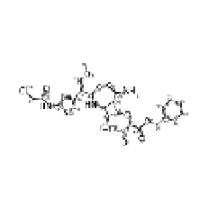 CO/N=C(\C(=O)N[C@@H]1C(=O)N(OC(C(=O)OCc2ccccc2)[N+](=O)[O-])[C@@H]1C(N)=O)c1csc(NC(=O)CCl)n1